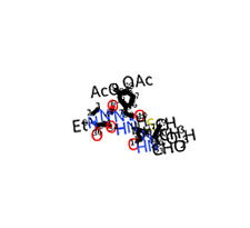 CCN1CCN(C(=O)NC(C(=O)N[C@H]2C(=O)N3[C@@H]2SC(C)(C)[C@]3(NC=O)C(=O)O)c2ccc(OC(C)=O)c(OC(C)=O)c2)C(=O)C1=O